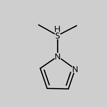 C[SH](C)n1cccn1